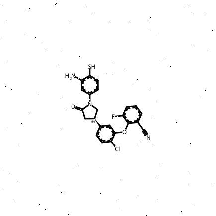 N#Cc1cccc(F)c1Oc1cc([C@H]2CC(=O)N(c3ccc(S)c(N)c3)C2)ccc1Cl